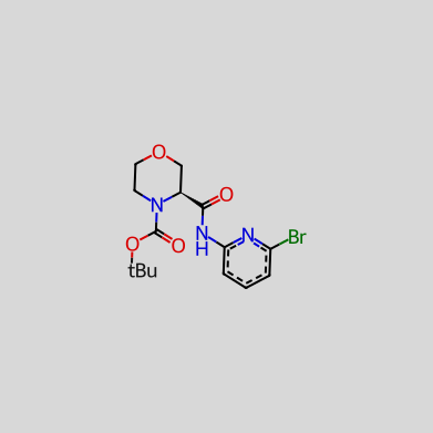 CC(C)(C)OC(=O)N1CCOC[C@H]1C(=O)Nc1cccc(Br)n1